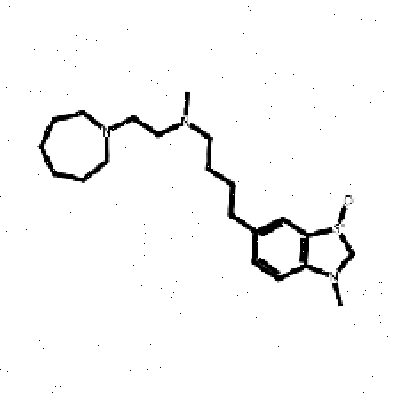 CN(CCCCc1ccc2c(c1)[S+]([O-])CN2C)CCN1CCCCCC1